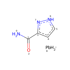 NC(=O)c1cc[nH]n1.[PbH2]